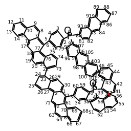 O=P(c1ccc(-c2c3ccc4ccccc4c3cc3ccc4c(-c5cccc6c5ccc5c(-c7ccc(P(=O)(c8cccc9ccccc89)c8cccc9ccccc89)cc7)c7c(ccc8ccccc87)cc56)cccc4c23)cc1)(c1ccc2cc3ccccc3cc2c1)c1ccc2cc3ccccc3cc2c1